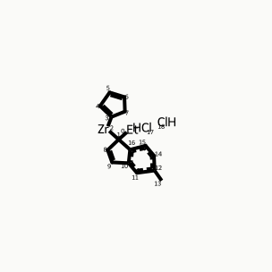 CC[C]1([Zr][C]2=CC=CC2)C=Cc2cc(C)ccc21.Cl.Cl